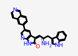 N[C@H](C=C1C(=O)Nc2ncc(-c3ccc4cnccc4c3)cc21)Cc1c[nH]c2ccccc12